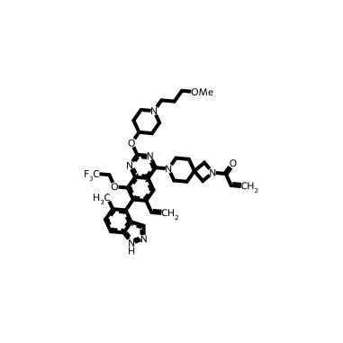 C=CC(=O)N1CC2(CCN(c3nc(OC4CCN(CCCOC)CC4)nc4c(OCC(F)(F)F)c(-c5c(C)ccc6[nH]ncc56)c(C=C)cc34)CC2)C1